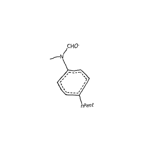 CCCCCc1ccc(N(C)[C]=O)cc1